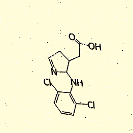 O=C(O)CC1CC=NC1Nc1c(Cl)cccc1Cl